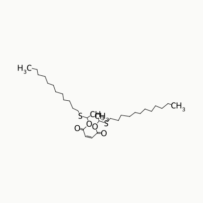 CCCCCCCCCCCCSC(C)OC(=O)/C=C\C(=O)OC(C)SCCCCCCCCCCCC